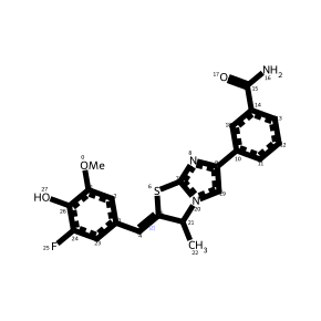 COc1cc(/C=C2\Sc3nc(-c4cccc(C(N)=O)c4)cn3C2C)cc(F)c1O